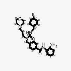 Nc1ccccc1NC(=O)c1ccc(CN(CCCN2CCOCC2)C(=O)NCc2ccc(F)cc2)cc1